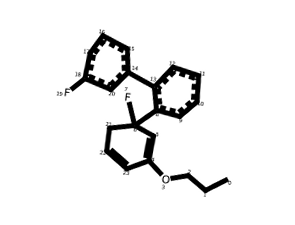 CCCOC1=CC(F)(c2ccccc2-c2cccc(F)c2)CC=C1